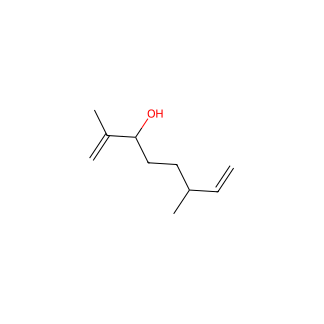 C=CC(C)CCC(O)C(=C)C